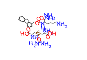 NC(CSSCC(N)C(=O)O)C(=O)O.NC(N)=O.NCCCCC(NC(=O)OCc1cccc2c1Cc1ccccc1-2)C(=O)NN